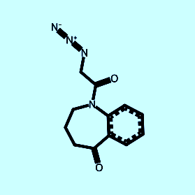 [N-]=[N+]=NCC(=O)N1CCCC(=O)c2ccccc21